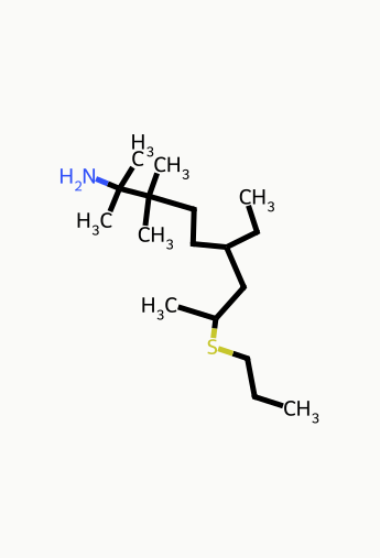 CCCSC(C)CC(CC)CCC(C)(C)C(C)(C)N